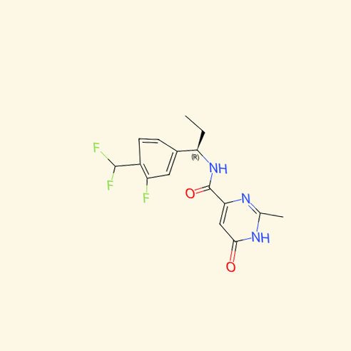 CC[C@@H](NC(=O)c1cc(=O)[nH]c(C)n1)c1ccc(C(F)F)c(F)c1